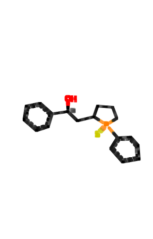 O[C@@H](CC1CCCP1(=S)c1ccccc1)c1ccccc1